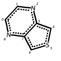 [c]1cnc2cscc2n1